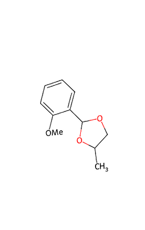 COc1ccccc1C1OCC(C)O1